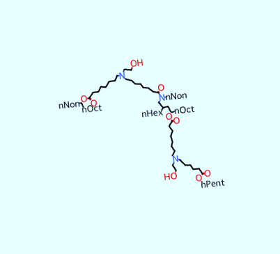 CCCCCCCCCC(CCCCCCCC)OC(=O)CCCCCCCN(CCO)CCCCCCCC(=O)N(CCCCCCCCC)CC(CCCCCC)CC(CCCCCCCC)OC(=O)CCCCCCCN(CCO)CCCCCC(=O)OCCCCC